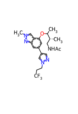 CC(=O)NC[C@@H](C)C(C)Oc1cc(-c2cnn(CCC(F)(F)F)c2)cc2nn(C)cc12